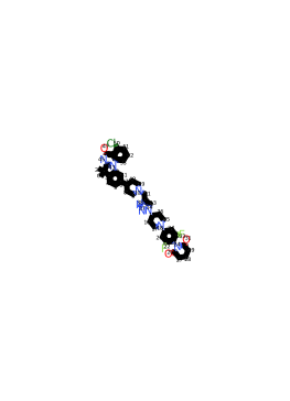 CC1(C)c2ccc(C3CCN(Cc4cn(C5CCN(c6cc(F)c(N7C(=O)CCCC7=O)c(F)c6)CC5)nn4)CC3)cc2-n2c1nc(=O)c1c(Cl)cccc12